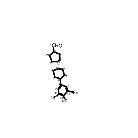 O=CC1CCC([C@H]2CC[C@H](c3cc(F)c(F)c(F)c3)CC2)CC1